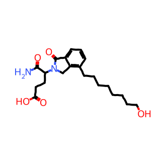 NC(=O)C(CCC(=O)O)N1Cc2c(CCCCCCCCO)cccc2C1=O